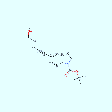 CC(C)(C)OC(=O)N1CCc2cc(C#CCCCO)ccc21